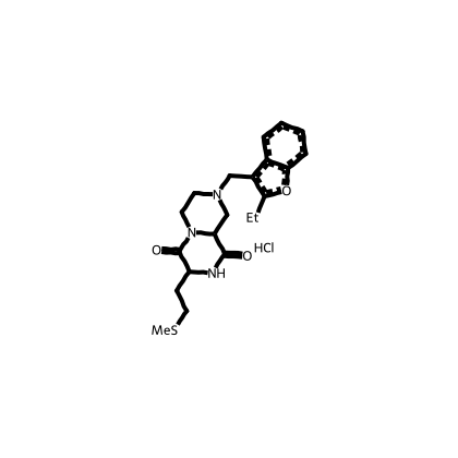 CCc1oc2ccccc2c1CN1CCN2C(=O)C(CCSC)NC(=O)C2C1.Cl